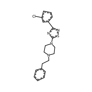 Clc1cccc(-c2nsc(N3CCN(CCc4ccccc4)CC3)n2)c1